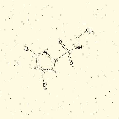 CCNS(=O)(=O)c1cc(Br)cc(Cl)n1